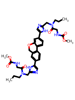 CCCN(Cc1ncc(-c2ccc3c(c2)COc2cc(-c4cnc(CN(CCC)C(=O)CNC(=O)OC)[nH]4)ccc2-3)[nH]1)C(=O)CNC(=O)OC